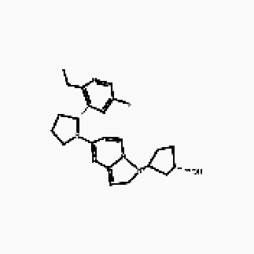 CCc1ncc(F)cc1[C@H]1CCCN1C1=NC2=CCN([C@H]3CC[C@H](O)C3)N2C=C1